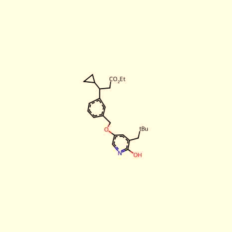 CCOC(=O)CC(c1cccc(COc2cnc(O)c(CC(C)(C)C)c2)c1)C1CC1